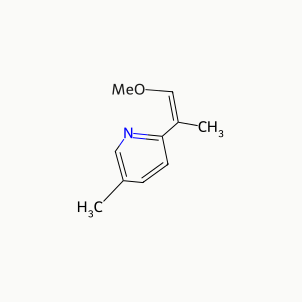 CO/C=C(/C)c1ccc(C)cn1